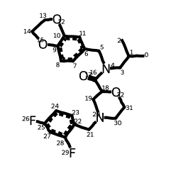 CC(C)CN(Cc1ccc2c(c1)OCCO2)C(=O)C1CN(Cc2ccc(F)cc2F)CCO1